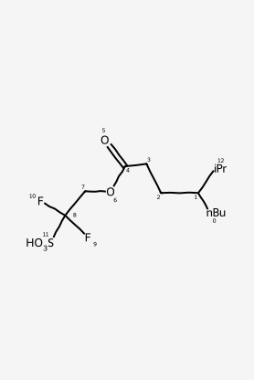 CCCCC(CCC(=O)OCC(F)(F)S(=O)(=O)O)C(C)C